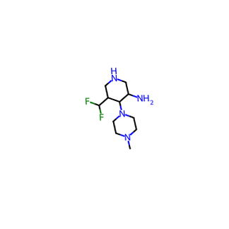 CN1CCN(C2C(N)CNCC2C(F)F)CC1